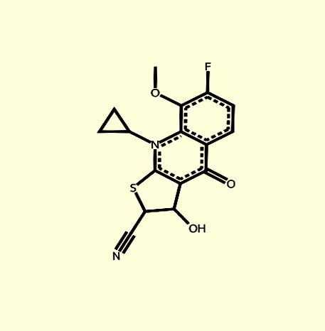 COc1c(F)ccc2c(=O)c3c(n(C4CC4)c12)SC(C#N)C3O